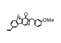 C=Cc1ccc2c(c1)c1cnn(Cc3cccc(OC)c3)c(=O)c1n2C